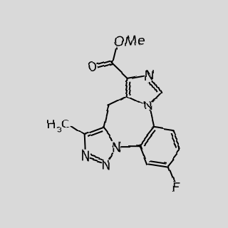 COC(=O)c1ncn2c1Cc1c(C)nnn1-c1cc(F)ccc1-2